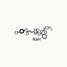 CCC(=O)OC(OC(=O)NCCCC(=O)Oc1ccc(Cl)cc1)C1CCCCC1.[NaH]